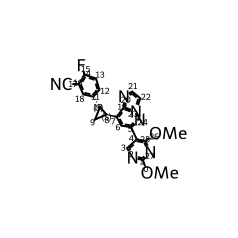 COc1ncc(-c2cc([C@H]3C[C@@H]3c3ccc(F)c(C#N)c3)c3nccn3n2)c(OC)n1